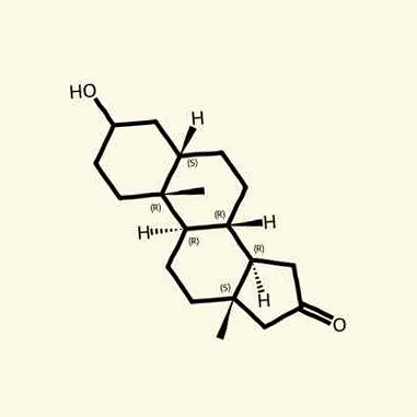 C[C@@]12CC[C@@H]3[C@H](CC[C@H]4CC(O)CC[C@]43C)[C@H]1CC(=O)C2